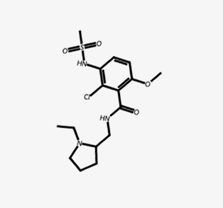 CCN1CCCC1CNC(=O)c1c(OC)ccc(NS(C)(=O)=O)c1Cl